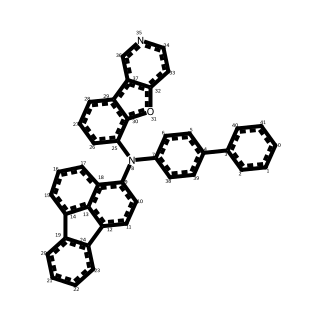 c1ccc(-c2ccc(N(c3ccc4c5c(cccc35)-c3ccccc3-4)c3cccc4c3oc3ccncc34)cc2)cc1